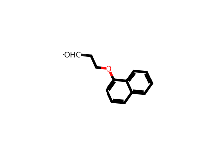 O=[C]CCOc1cccc2ccccc12